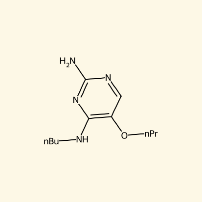 CCCCNc1nc(N)ncc1OCCC